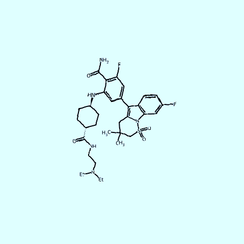 CCN(CC)CCNC(=O)[C@H]1CC[C@H](Nc2cc(-c3c4n(c5cc(F)ccc35)S(=O)(=O)CC(C)(C)C4)cc(F)c2C(N)=O)CC1